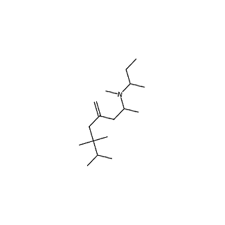 C=C(CC(C)N(C)C(C)CC)CC(C)(C)C(C)C